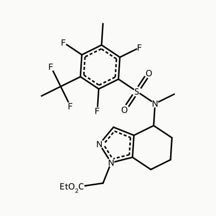 CCOC(=O)Cn1ncc2c1CCCC2N(C)S(=O)(=O)c1c(F)c(C)c(F)c(C(C)(F)F)c1F